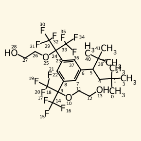 CC(C)(C)CC(c1cc(C(OCCO)(C(F)(F)F)C(F)(F)F)cc(C(OCCO)(C(F)(F)F)C(F)(F)F)c1)C(C)(C)C